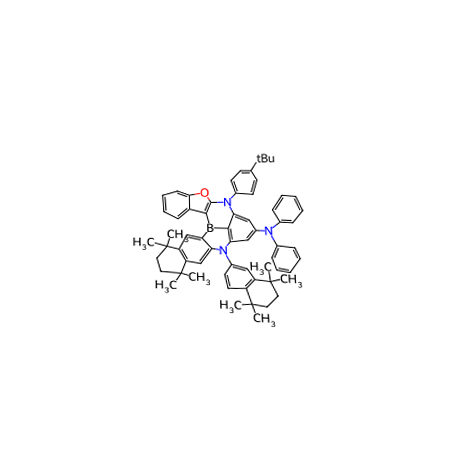 CC(C)(C)c1ccc(N2c3cc(N(c4ccccc4)c4ccccc4)cc4c3B(c3cc5c(cc3N4c3ccc4c(c3)C(C)(C)CCC4(C)C)C(C)(C)CCC5(C)C)c3c2oc2ccccc32)cc1